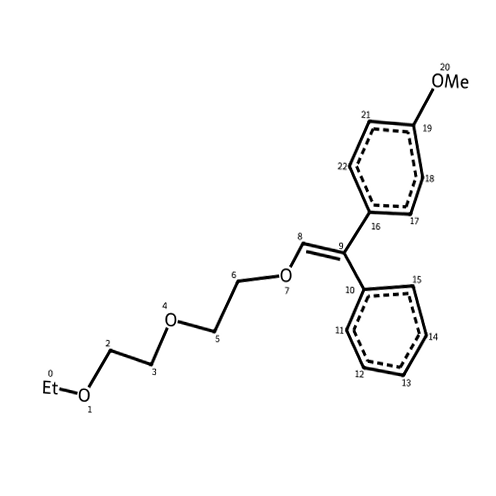 CCOCCOCCO/C=C(\c1ccccc1)c1ccc(OC)cc1